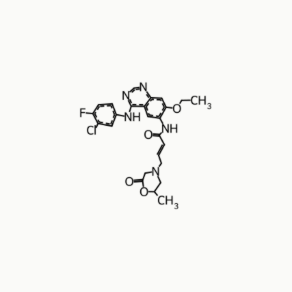 CCOc1cc2ncnc(Nc3ccc(F)c(Cl)c3)c2cc1NC(=O)C=CCN1CC(=O)OC(C)C1